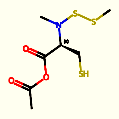 CSSN(C)[C@@H](CS)C(=O)OC(C)=O